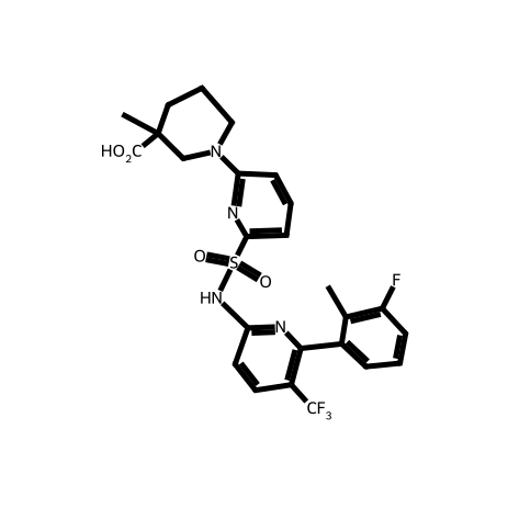 Cc1c(F)cccc1-c1nc(NS(=O)(=O)c2cccc(N3CCCC(C)(C(=O)O)C3)n2)ccc1C(F)(F)F